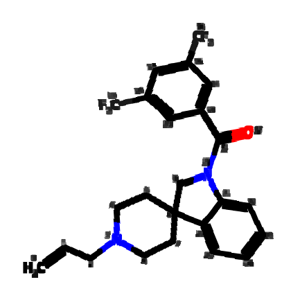 C=CCN1CCC2(CC1)CN(C(=O)c1cc(C(F)(F)F)cc(C(F)(F)F)c1)c1ccccc12